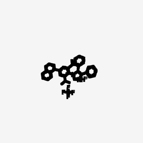 CC(C)c1cc(-c2cccc3ccccc23)cc(C(C)C)c1N1C=[NH+]C(c2ccccc2)C1c1ccccc1.F[B-](F)(F)F